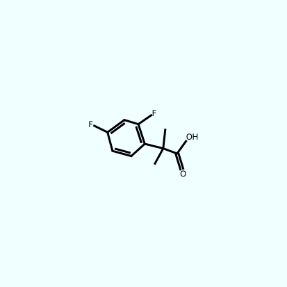 CC(C)(C(=O)O)c1ccc(F)cc1F